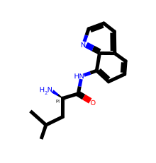 CC(C)C[C@@H](N)C(=O)Nc1cccc2cccnc12